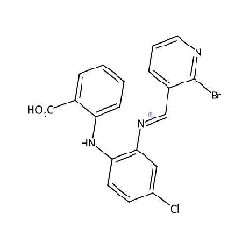 O=C(O)c1ccccc1Nc1ccc(Cl)cc1/N=C/c1cccnc1Br